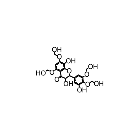 O=C1c2c(OCO)cc(OCO)c(O)c2OC(c2cc(O)c(OCO)c(OCO)c2)C1O